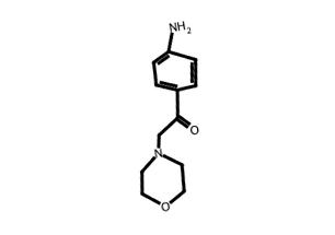 Nc1ccc(C(=O)CN2CCOCC2)cc1